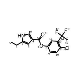 CCc1cc(C(=O)Oc2ccc(Cl)c(C(F)(F)F)c2)c[nH]1